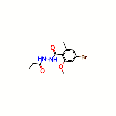 CCC(=O)NNC(=O)c1c(C)cc(Br)cc1OC